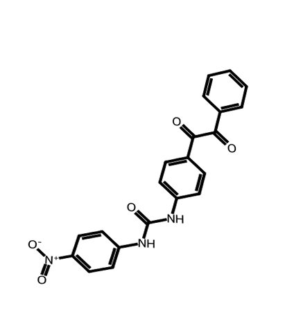 O=C(Nc1ccc(C(=O)C(=O)c2ccccc2)cc1)Nc1ccc([N+](=O)[O-])cc1